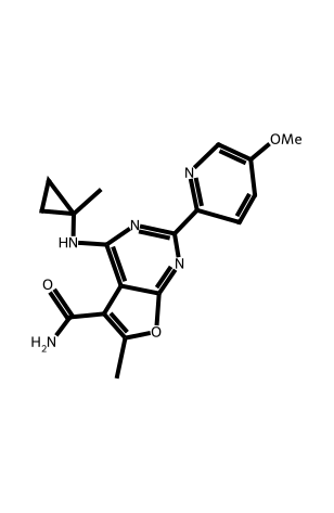 COc1ccc(-c2nc(NC3(C)CC3)c3c(C(N)=O)c(C)oc3n2)nc1